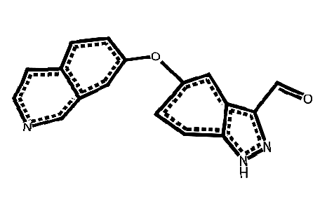 O=Cc1n[nH]c2ccc(Oc3ccc4ccncc4c3)cc12